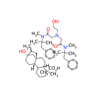 C=C1C[C@@]23CC[C@H]4[C@@](C)(CCC[C@@]4(C)C(=O)O)[C@@H]2CC[C@]1(O)C3.CN(C(=O)CN(CCO)CC(=O)N(C)C(C)(C)Cc1ccccc1)C(C)(C)Cc1ccccc1